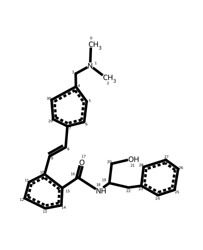 CN(C)Cc1ccc(C=Cc2ccccc2C(=O)NC(CO)Cc2ccccc2)cc1